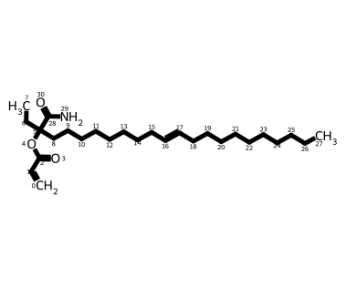 C=CC(=O)OC(CC)(CCCCCCCCC=CCCCCCCCCCC)C(N)=O